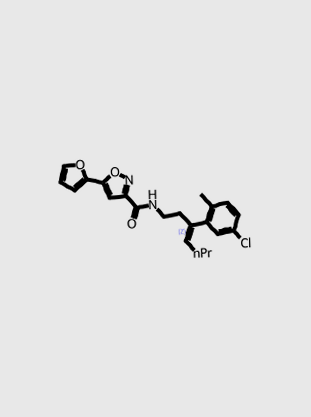 CCC/C=C(/CCNC(=O)c1cc(-c2ccco2)on1)c1cc(Cl)ccc1C